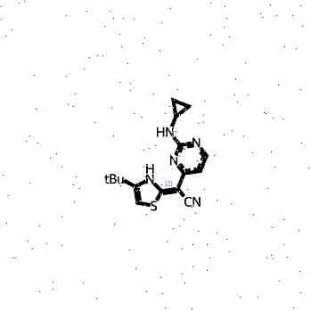 CC(C)(C)C1=CS/C(=C(\C#N)c2ccnc(NC3CC3)n2)N1